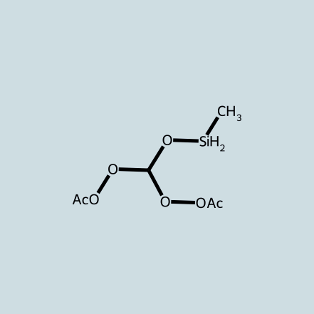 C[SiH2]OC(OOC(C)=O)OOC(C)=O